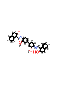 COc1cc(-c2ccc(N=Cc3c(O)ccc4ccccc34)c(OC)c2)ccc1N=Cc1c(O)ccc2ccccc12